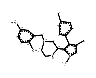 CCCCn1cc(C)c(-c2ccc(C)cc2)c1C1CN(Cc2cc(OC)ccc2OC)CC[N]1